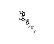 CN(C)CCCNC(=O)Cn1cc(Nc2cc(Nc3cccc4c3C(=O)N(C)CC4)c(F)cn2)cn1